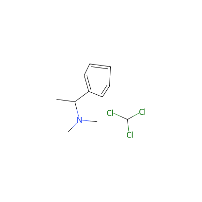 CC(c1ccccc1)N(C)C.ClC(Cl)Cl